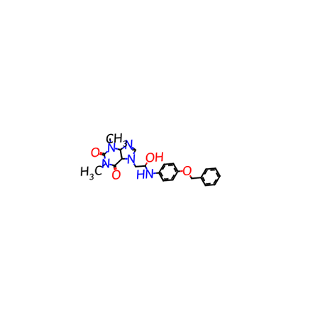 CN1C(=O)C2C(N=CN2CC(O)Nc2ccc(OCc3ccccc3)cc2)N(C)C1=O